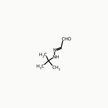 CC(C)(C)NN=CC=O